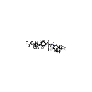 CCONC/C(C=N)=C/NCc1ccc(-c2noc(C(F)(F)F)n2)cc1